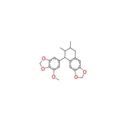 COc1cc(C2c3cc4c(cc3CC(C)C2C)OCO4)cc2c1OCO2